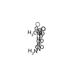 C[C@H](N[P@@](=O)(OC[C@H]1OC[C@@H](n2ccc(N)nc2=O)O1)Oc1ccccc1)C(=O)OC1CCCCC1